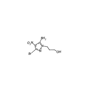 Bc1c([N+](=O)[O-])c(Br)nn1CCCO